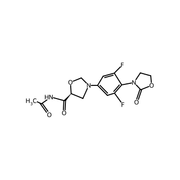 CC(=O)NC(=O)[C@@H]1CN(c2cc(F)c(N3CCOC3=O)c(F)c2)CO1